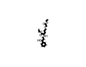 CCOC(=O)CSCCCC(NCCC(O)C1CCCCC1)C(=O)OCC